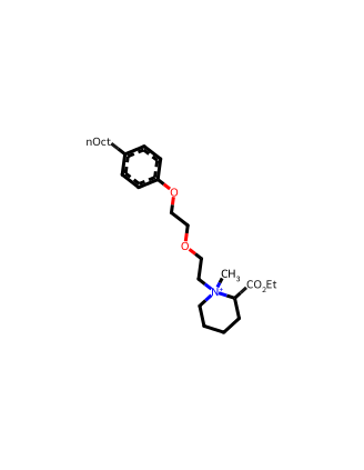 CCCCCCCCc1ccc(OCCOCC[N+]2(C)CCCCC2C(=O)OCC)cc1